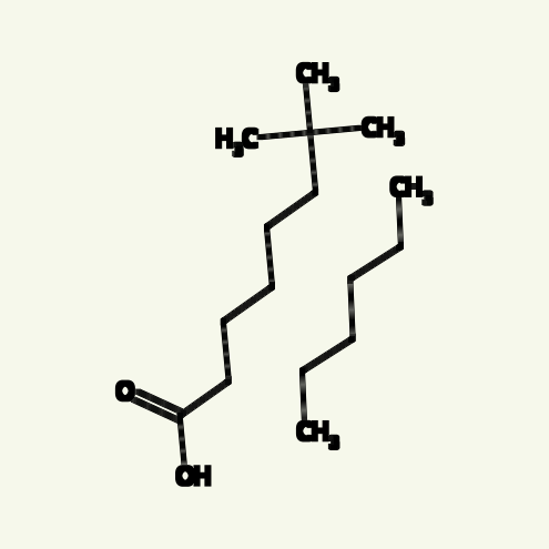 CC(C)(C)CCCCCC(=O)O.CCCCCC